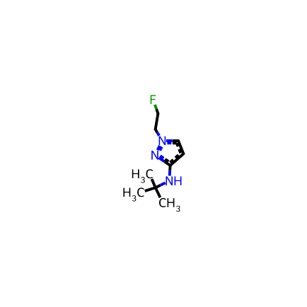 CC(C)(C)Nc1ccn(CCF)n1